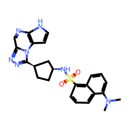 CN(C)c1cccc2c(S(=O)(=O)N[C@H]3CC[C@@H](c4nnc5cnc6[nH]ccc6n45)C3)cccc12